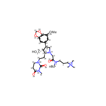 CCCCN(CCC[N+](C)(C)C)C(=O)CN1C[C@H](c2cc(OC)c3c(c2)OCO3)[C@@H](C(=O)O)[C@@H]1CCN1CCC(=O)N(C)C1=O